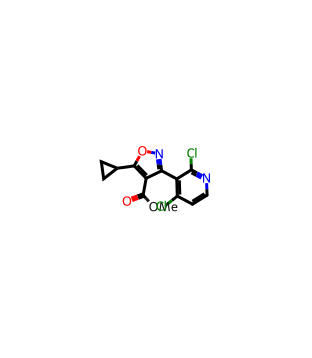 COC(=O)c1c(-c2c(Cl)ccnc2Cl)noc1C1CC1